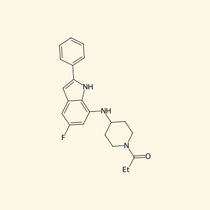 CCC(=O)N1CCC(Nc2cc(F)cc3cc(-c4ccccc4)[nH]c23)CC1